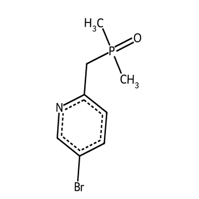 CP(C)(=O)Cc1ccc(Br)cn1